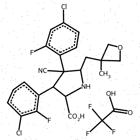 CC1(CC2NC(C(=O)O)C(c3cccc(Cl)c3F)C2(C#N)c2ccc(Cl)cc2F)COC1.O=C(O)C(F)(F)F